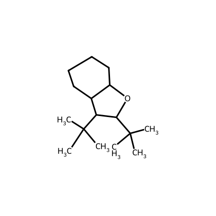 CC(C)(C)C1OC2CCCCC2C1C(C)(C)C